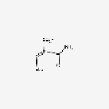 CCCCC=C(C(N)=O)C(=O)O